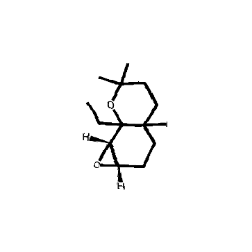 CCC12OC(C)(C)CCC1(I)CC[C@@H]1O[C@@H]12